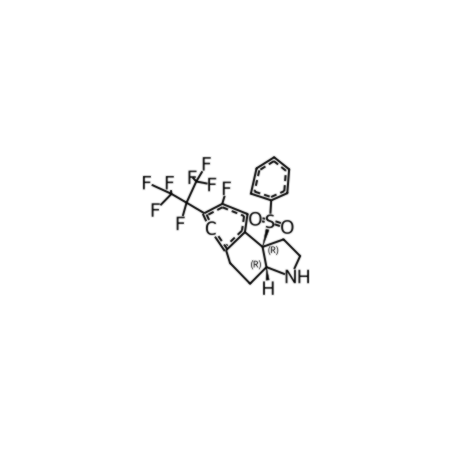 O=S(=O)(c1ccccc1)[C@@]12CCN[C@@H]1CCc1cc(C(F)(C(F)(F)F)C(F)(F)F)c(F)cc12